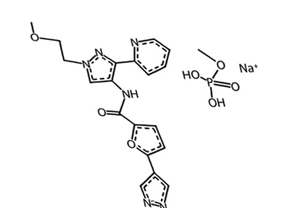 COCCn1cc(NC(=O)c2ccc(-c3cn[n-]c3)o2)c(-c2ccccn2)n1.COP(=O)(O)O.[Na+]